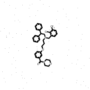 O=C(c1cccc(OCCCN(Cc2cccc(C(F)(F)F)c2Cl)CC(c2ccccc2)c2ccccc2)c1)N1CCOCC1